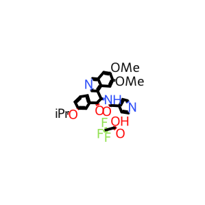 COc1cc2cncc(C(NC(=O)c3ccncc3)C(=O)c3cccc(OC(C)C)c3)c2cc1OC.O=C(O)C(F)(F)F